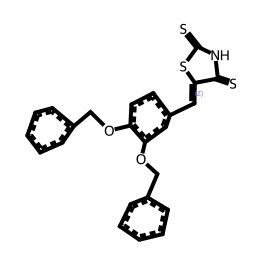 S=C1NC(=S)/C(=C/c2ccc(OCc3ccccc3)c(OCc3ccccc3)c2)S1